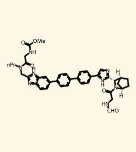 CCCN(Cc1nc2ccc(-c3ccc(-c4ccc(-c5cnc([C@@H]6[C@H]7CC[C@H](C7)N6C(=O)CNC=O)[nH]5)cc4)cc3)cc2[nH]1)C(=O)CNC(=O)OC